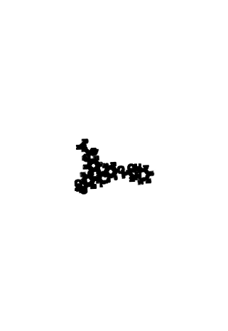 CCC(=C(c1ccc(OCC(O)CN2CCCCC2)cc1)c1ccc(OC(=O)C2CC2)cc1)c1ccc2c(c1)OCO2